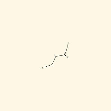 ICCSI